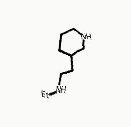 CCNCCC1CCCNC1